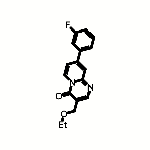 CCOCc1cnc2cc(-c3cccc(F)c3)ccn2c1=O